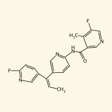 CC=C(c1ccc(F)nc1)c1ccc(NC(=O)c2cncc(F)c2C)nc1